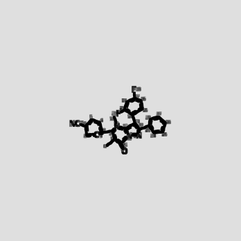 Cc1c(-c2ccc(C#N)cc2)n(C)c2c(-c3ccc(F)cc3F)c(-c3ccccc3)nn2c1=O